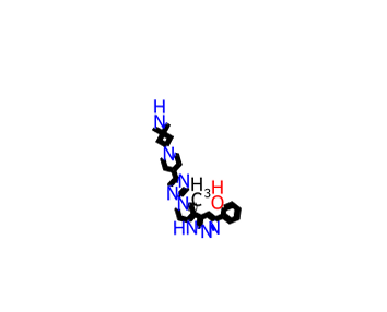 C[C@@H]1c2c([nH]c3nnc(-c4ccccc4O)cc23)CCN1c1cnc(C2CCN(C3CC4(CNC4)C3)CC2)cn1